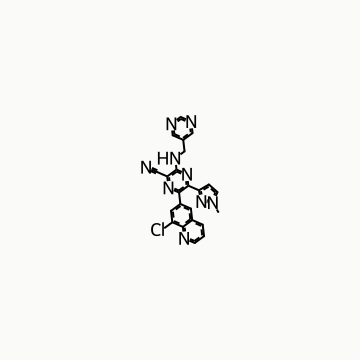 Cn1ccc(-c2nc(NCc3cncnc3)c(C#N)nc2-c2cc(Cl)c3ncccc3c2)n1